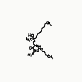 CCCCCCCC(C)(O)/C=C/C(NC(=O)OCCCC)C(=O)OC